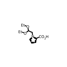 CCOC(Cn1cccc1C(=O)O)OCC